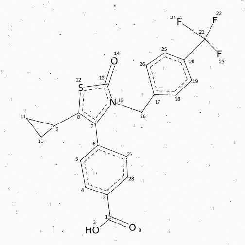 O=C(O)c1ccc(-c2c(C3CC3)sc(=O)n2Cc2ccc(C(F)(F)F)cc2)cc1